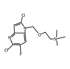 C[Si](C)(C)CCOCn1c(Cl)cc2nc(Cl)c(F)cc21